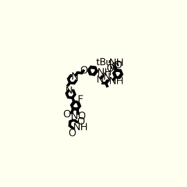 Cc1cnc(Nc2ccc(OCCN3CCC(CN4CCC(c5cc6c(cc5F)C(=O)N(C5CCC(=O)NC5=O)C6=O)CC4)CC3)cc2)nc1Nc1cccc(S(=O)(=O)NC(C)(C)C)c1